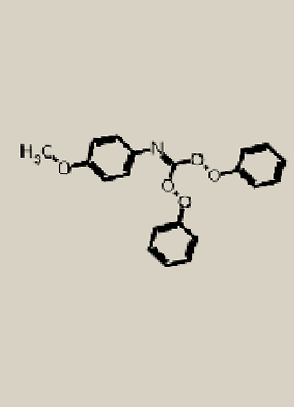 COc1ccc(N=C(OOc2ccccc2)OOc2ccccc2)cc1